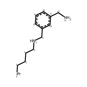 CC(C)CCCCNCc1cccc(CN)c1